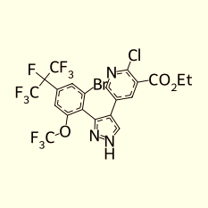 CCOC(=O)c1cc(-c2c[nH]nc2-c2c(Br)cc(C(F)(C(F)(F)F)C(F)(F)F)cc2OC(F)(F)F)cnc1Cl